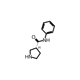 O=C(Nc1ccccc1)[C@@H]1CCNC1